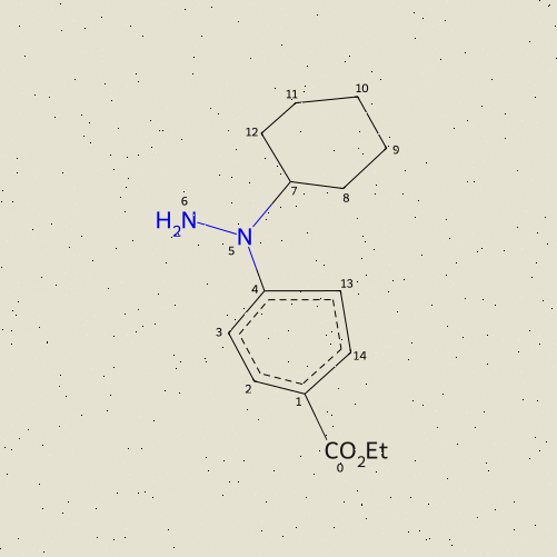 CCOC(=O)c1ccc(N(N)C2CCCCC2)cc1